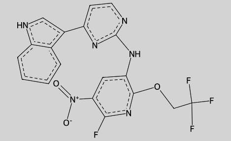 O=[N+]([O-])c1cc(Nc2nccc(-c3c[nH]c4ccccc34)n2)c(OCC(F)(F)F)nc1F